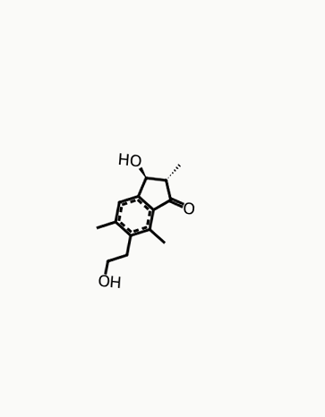 Cc1cc2c(c(C)c1CCO)C(=O)[C@@H](C)[C@@H]2O